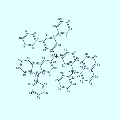 c1ccc(-c2cc(-c3ccccc3)cc(N(c3ccc4c(c3)N(c3ccccc3)c3cccc5cccc-4c35)c3ccc4c(c3)c3ccccc3n4-c3ccccc3)c2)cc1